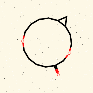 O=C1CCCCOCCCCC2CC2CCOC1